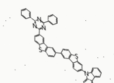 c1ccc(-c2nc(-c3ccccc3)nc(-c3ccc4sc5ccc(-c6ccc7sc8cc(-n9c%10ccccc%10c%10ccccc%109)ccc8c7c6)cc5c4c3)n2)cc1